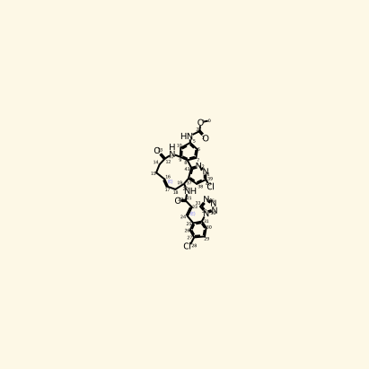 COC(=O)Nc1ccc2c(c1)NC(=O)CC/C=C/CC(NC(=O)/C=C/c1cc(Cl)ccc1-n1cnnn1)c1cc(Cl)nnc1-2